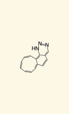 c1cccc2ccc3cnn[nH]c3c2ccc1